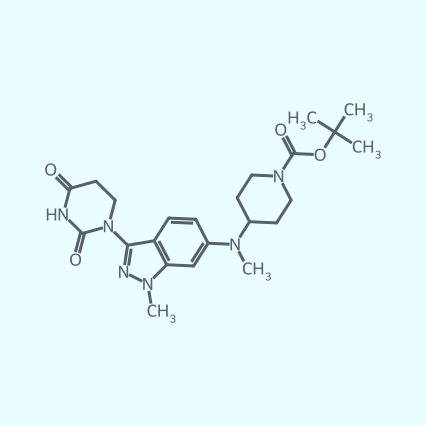 CN(c1ccc2c(N3CCC(=O)NC3=O)nn(C)c2c1)C1CCN(C(=O)OC(C)(C)C)CC1